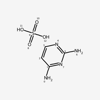 Nc1ccnc(N)n1.O=S(=O)(O)O